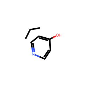 CCC.Oc1ccncc1